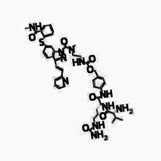 CNC(=O)c1ccccc1Sc1ccc2c(/C=C/c3ccccn3)nn(C(=O)N(C)CCNC(=O)OCc3ccc(NC(=O)[C@@H](CCCNC(N)=O)NC(=O)[C@H](N)C(C)C)cc3)c2c1